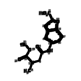 CCOC(=O)c1cc2cc(NC(=O)CN(C)C(=O)OC(C)(C)C)ccc2o1